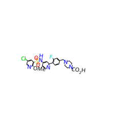 COc1ncc(Cl)cc1S(=O)(=O)Nc1ccnc(-c2ccc(CN3CCN(C(=O)O)CC3)cc2F)c1